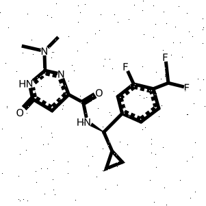 CN(C)c1nc(C(=O)N[C@@H](c2ccc(C(F)F)c(F)c2)C2CC2)cc(=O)[nH]1